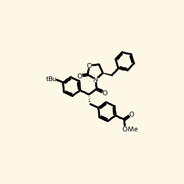 COC(=O)c1ccc(C[C@@H](C(=O)N2C(=O)OC[C@H]2Cc2ccccc2)c2ccc(C(C)(C)C)cc2)cc1